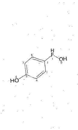 OPc1ccc(O)cc1